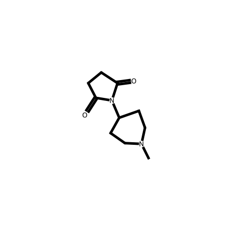 CN1CCC(N2C(=O)CCC2=O)CC1